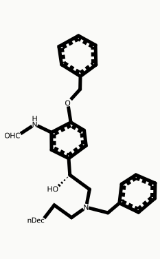 CCCCCCCCCCCCN(Cc1ccccc1)C[C@H](O)c1ccc(OCc2ccccc2)c(NC=O)c1